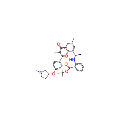 Cc1cc([C@@H](C)Nc2ccccc2C(=O)OC(C)(C)C)c2oc(-c3ccc(OC4CCN(C)C4)cc3)c(C)c(=O)c2c1